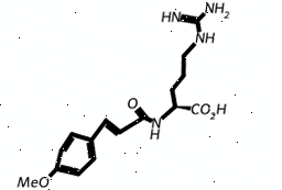 COc1ccc(C=CC(=O)N[C@@H](CCCNC(=N)N)C(=O)O)cc1